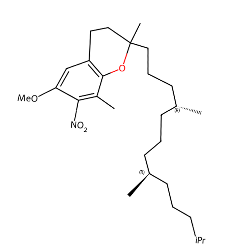 COc1cc2c(c(C)c1[N+](=O)[O-])OC(C)(CCC[C@H](C)CCC[C@H](C)CCCC(C)C)CC2